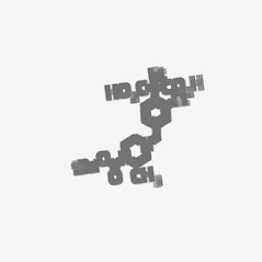 CCc1cc(CN2CCN(C(=O)OC(C)(C)C)[C@@H](C)C2)ccc1C(CC)(C(=O)O)C(=O)O